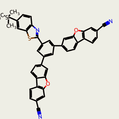 C[Si](C)(C)c1ccc2nc(-c3cc(-c4ccc5c(c4)oc4cc(C#N)ccc45)cc(-c4ccc5c(c4)oc4cc(C#N)ccc45)c3)sc2c1